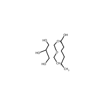 CCCCCCO.CCOCC.OCC(O)CO